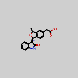 CC1O/C(=C2/C(=O)Nc3ccccc32)c2ccc(CC(=O)O)cc21